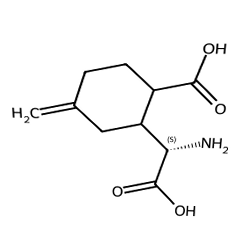 C=C1CCC(C(=O)O)C([C@H](N)C(=O)O)C1